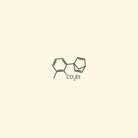 CCOC(=O)c1c(C)cccc1C12C=CC(C=C1)C2